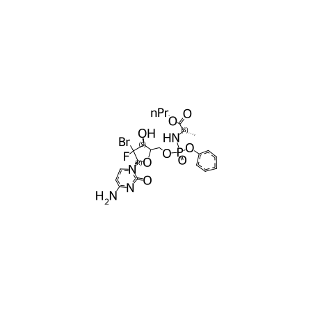 CCCOC(=O)[C@H](C)NP(=O)(OCC1O[C@@H](n2ccc(N)nc2=O)C(F)(Br)[C@H]1O)Oc1ccccc1